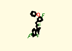 FC(=CC1(c2ccc(F)cc2F)CC1)Cc1ccc(F)c(Oc2ccccc2)c1